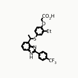 CCc1cc(SC(C)c2cccc3[nH]c(-c4ccc(C(F)(F)F)cc4)nc23)ccc1OCC(=O)O